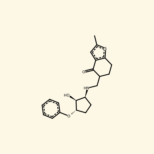 Cc1cc2c(s1)CCC(CN[C@H]1CC[C@H](Oc3ccccc3)[C@H]1O)C2=O